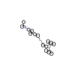 O=C1CC(C2CC3C(=O)OC(=O)C3c3cc(OCCCCCCOc4ccc(C(=O)Oc5ccc(/C=C/C(=O)c6ccccc6)cc5)cc4)ccc32)C(=O)O1